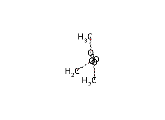 C=CCCCCCCCCCOC(OCCCCCCCCCC=C)C(=O)c1ccc(OCCCCCCCCCC)cc1